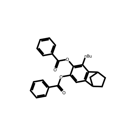 CCCCc1c(OC(=O)c2ccccc2)c(OC(=O)c2ccccc2)cc2c1C1CCC2C1